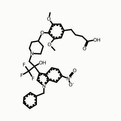 COc1cc(CCCC(=O)O)cc(OC)c1OC1CCN(CC(O)(c2cn(Cc3ccccc3)c3cc([N+](=O)[O-])ccc23)C(F)(F)F)CC1